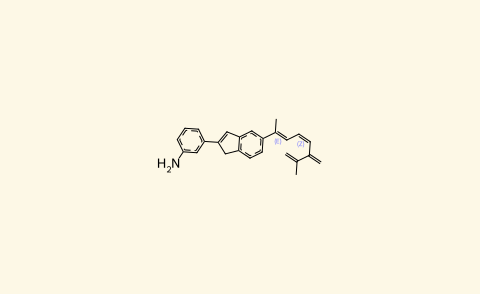 C=C(C)C(=C)/C=C\C=C(/C)c1ccc2c(c1)C=C(c1cccc(N)c1)C2